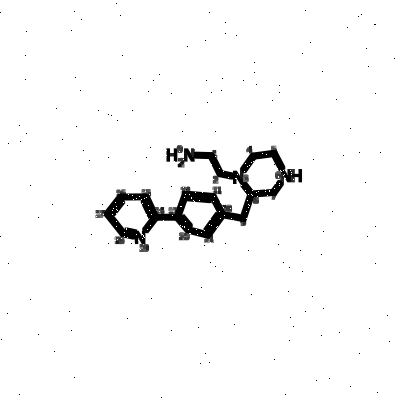 NCCN1CCNCC1Cc1ccc(-c2ccccn2)cc1